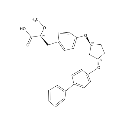 CO[C@@H](Cc1ccc(O[C@H]2CC[C@H](Oc3ccc(-c4ccccc4)cc3)C2)cc1)C(=O)O